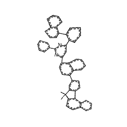 CC1(C)c2cc(-c3ccc(-c4cc(-c5ccccc5-c5cccc6ccccc56)nc(-c5ccccc5)n4)c4ccccc34)ccc2-c2c1ccc1ccccc21